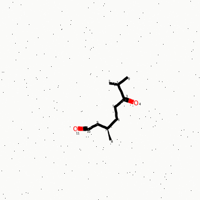 CC(C)C(=O)CC[C@@H](C)CC=O